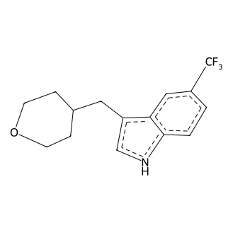 FC(F)(F)c1ccc2[nH]cc(CC3CCOCC3)c2c1